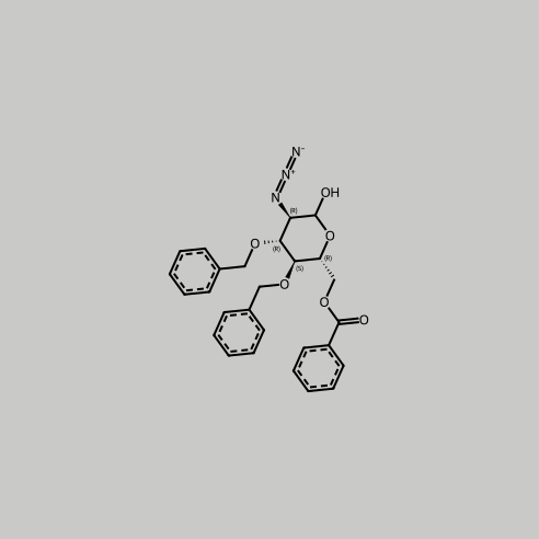 [N-]=[N+]=N[C@H]1C(O)O[C@H](COC(=O)c2ccccc2)[C@@H](OCc2ccccc2)[C@@H]1OCc1ccccc1